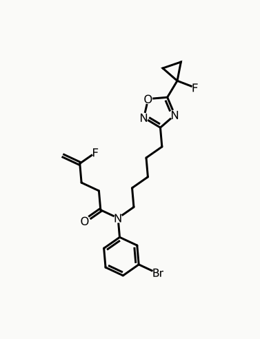 C=C(F)CCC(=O)N(CCCCCc1noc(C2(F)CC2)n1)c1cccc(Br)c1